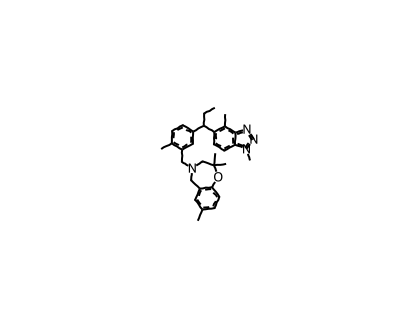 CCC(c1ccc(C)c(CN2Cc3cc(C)ccc3OC(C)(C)C2)c1)c1ccc2c(nnn2C)c1C